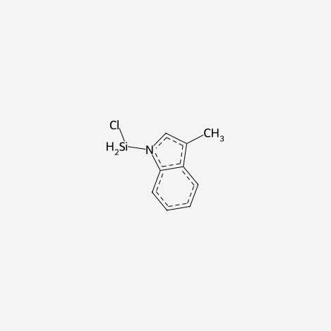 Cc1cn([SiH2]Cl)c2ccccc12